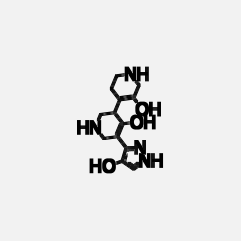 OC1=C(C2CNCC(c3n[nH]cc3O)=C2O)CCNC1